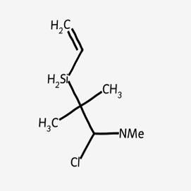 C=C[SiH2]C(C)(C)C(Cl)NC